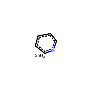 [SnH4].c1ccncc1